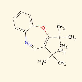 CC(C)(C)C1=C(C(C)(C)C)Oc2ccccc2N=C1